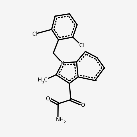 Cc1c(C(=O)C(N)=O)c2[c]cccc2n1Cc1c(Cl)cccc1Cl